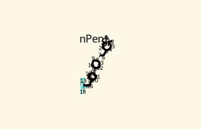 CCCCC[Si]1(C)CCC(CC[C@H]2CC[C@H](c3ccc(C=C(F)F)cc3)CC2)CC1